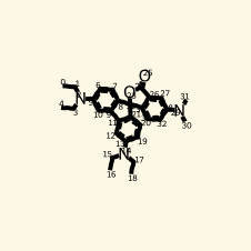 CCN(CC)c1ccc2c(c1)-c1cc(N(CC)CC)ccc1C21OC(=O)c2cc(N(C)C)ccc21